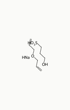 C=CCOCC=C.O=S(=O)(O)CCCO.[NaH]